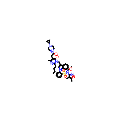 CCCCc1nc(C)c(CC(=O)N2CCN(C3CC3)CC2)c(=O)n1Cc1cn(-c2ccccc2S(=O)(=O)N(COC)c2noc(C)c2C)c2ccccc12